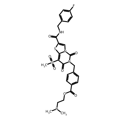 CN(C)CCOC(=O)c1ccc(Cn2c(=O)c(S(C)(=O)=O)c3sc(C(=O)NCc4ccc(F)cc4)cn3c2=O)cc1